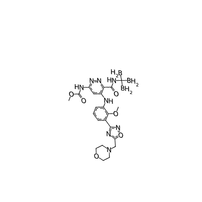 BC(B)(B)NC(=O)c1nnc(NC(=O)OC)cc1Nc1cccc(-c2noc(CN3CCOCC3)n2)c1OC